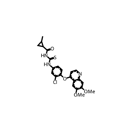 COc1cc2nccc(Oc3ccc(NC(=S)NC(=O)C4CC4C)cc3Cl)c2cc1OC